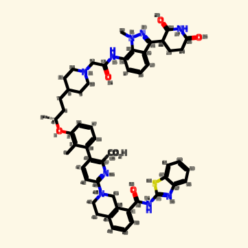 Cc1c(O[C@H](C)CCC2CCN(CC(=O)Nc3cccc4c(C5CCC(=O)NC5=O)nn(C)c34)CC2)cccc1-c1ccc(N2CCc3cccc(C(=O)Nc4nc5ccccc5s4)c3C2)nc1C(=O)O